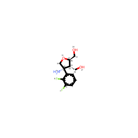 N[C@]1(c2cccc(F)c2F)CO[C@@H](CO)[C@@H]1CO